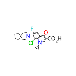 O=C(O)c1cn(C2CC2)c2c(Cl)c(N3CCC4(CCCC4)CC3)c(F)cc2c1=O